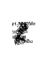 CCCCOC(=O)[C@H](C)NP(=O)(N[C@@H](C)C(=O)OCCCC)OC[C@H]1O[C@@H](n2c(I)nc3c(OC)nc(N)nc32)[C@](C)(O)[C@@H]1O